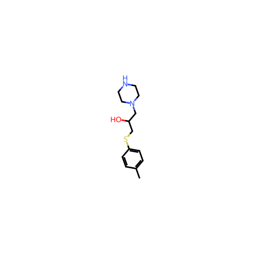 Cc1ccc(SCC(O)CN2CCNCC2)cc1